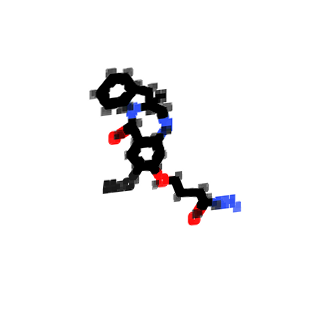 COc1cc2c(cc1OCCCC(N)=O)N=C[C@@H]1Cc3ccccc3N1C2=O